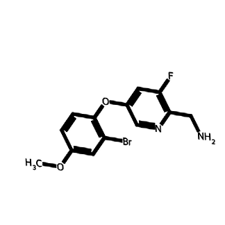 COc1ccc(Oc2cnc(CN)c(F)c2)c(Br)c1